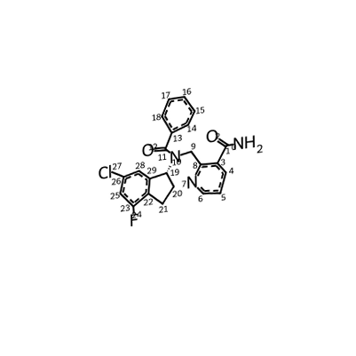 NC(=O)c1cccnc1CN(C(=O)c1ccccc1)[C@@H]1CCc2c(F)cc(Cl)cc21